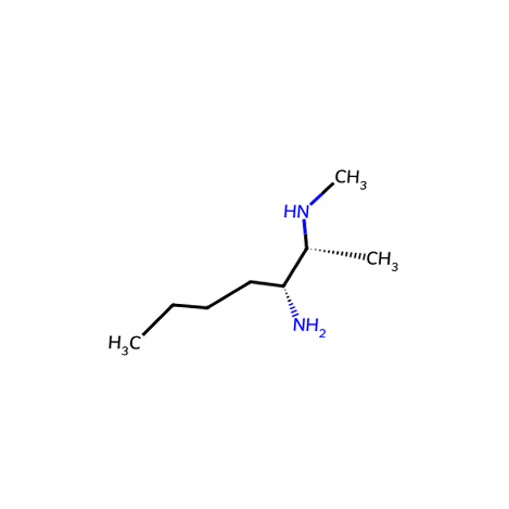 CCCC[C@@H](N)[C@@H](C)NC